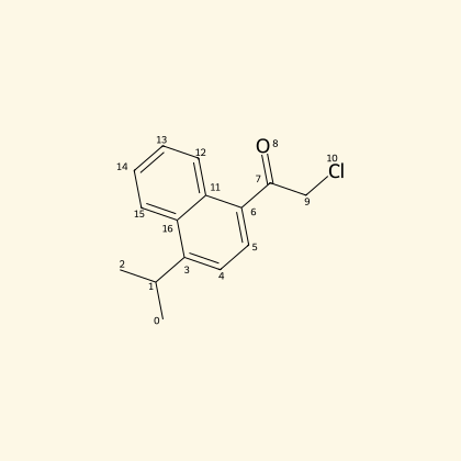 CC(C)c1ccc(C(=O)CCl)c2ccccc12